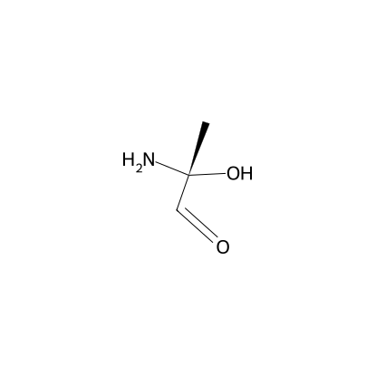 C[C@@](N)(O)C=O